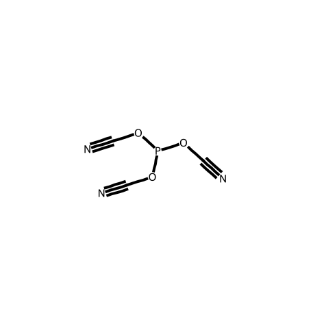 N#COP(OC#N)OC#N